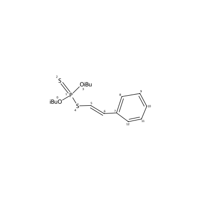 CC(C)COP(=S)(OCC(C)C)SC=Cc1ccccc1